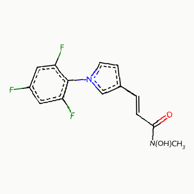 CN(O)C(=O)C=Cc1ccn(-c2c(F)cc(F)cc2F)c1